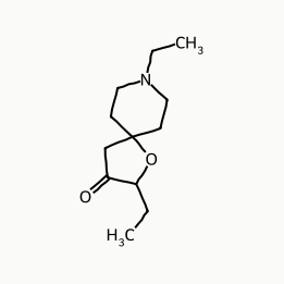 CCC1OC2(CCN(CC)CC2)CC1=O